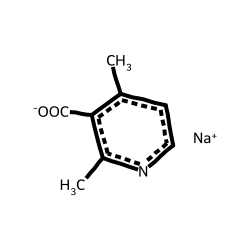 Cc1ccnc(C)c1C(=O)[O-].[Na+]